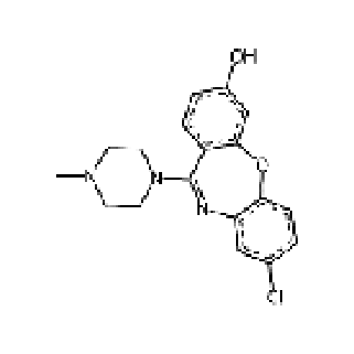 CN1CCN(C2=Nc3cc(Cl)ccc3Oc3cc(O)ccc32)CC1